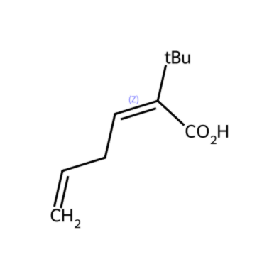 C=CC/C=C(\C(=O)O)C(C)(C)C